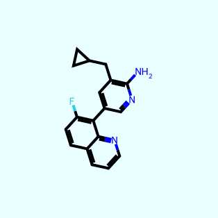 Nc1ncc(-c2c(F)ccc3cccnc23)cc1CC1CC1